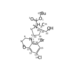 CC(C)(C)OC(=O)N1C[C@@H](N2CCOc3cc(Cl)cc(Br)c32)C[C@]1(C)CO